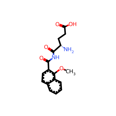 COc1c(C(=O)NC(=O)[C@@H](N)CCC(=O)O)ccc2ccccc12